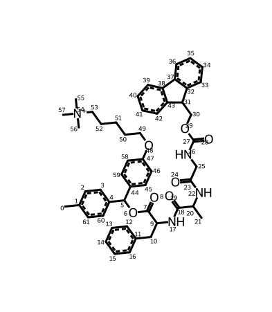 Cc1ccc(C(OC(=O)C(Cc2ccccc2)NC(=O)C(C)NC(=O)CNC(=O)OCC2c3ccccc3-c3ccccc32)c2ccc(OCCCCC[N+](C)(C)C)cc2)cc1